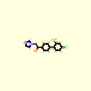 O=C(Cn1ccnc1)c1ccc(-c2ccc(Cl)cc2Cl)cc1